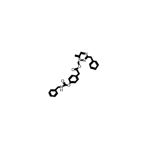 C=C1C=NC(Cc2ccccc2)=NN1COC(=O)Cc1ccc(OC(=O)NCc2ccccc2)cc1